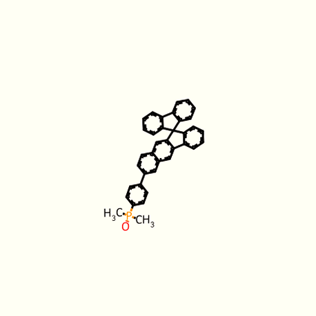 CP(C)(=O)c1ccc(-c2ccc3cc4c(cc3c2)-c2ccccc2C42c3ccccc3-c3ccccc32)cc1